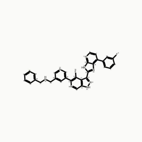 Fc1cccc(-c2ccnc3[nH]c(-c4n[nH]c5cnc(-c6cncc(CNCc7ccccc7)c6)c(F)c45)nc23)c1